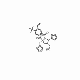 C=Cc1cc(C(=O)N2[C@@H](c3nccs3)[C@@H](CO)C[C@@]2(Cn2cccn2)C(=O)O)ccc1C(C)(C)C